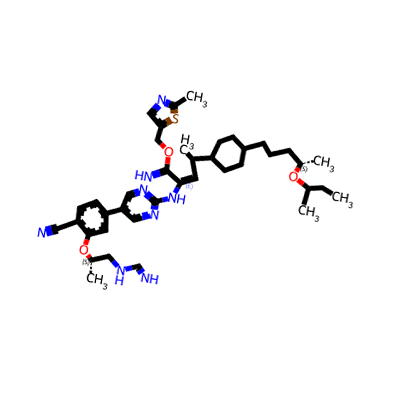 CCC(C)O[C@@H](C)CCCC1CCC(C(C)/C=C(/Nc2ncc(-c3ccc(C#N)c(O[C@@H](C)CNC=N)c3)cn2)C(=N)OCc2cnc(C)s2)CC1